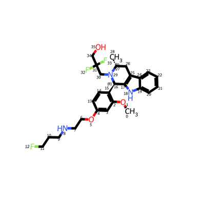 COc1cc(OCCNCCCF)ccc1[C@@H]1c2[nH]c3ccccc3c2C[C@@H](C)N1CC(F)(F)CO